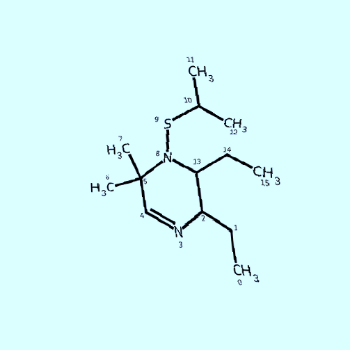 CCC1N=CC(C)(C)N(SC(C)C)C1CC